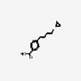 C1CC1.CCCCCc1ccc(C(=O)O)cc1